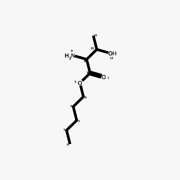 CCCCCOC(=O)C(N)C(C)O